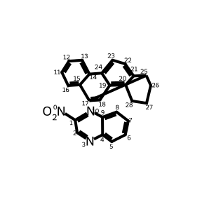 O=[N+]([O-])c1cnc2ccccc2n1.c1ccc2c(c1)c1cc3c4c(ccc32)C1CCC4